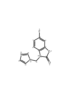 O=c1oc2cc(F)ccc2n1Cn1ccnc1